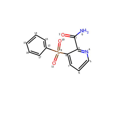 NC(=O)c1ncccc1S(=O)(=O)c1ccccc1